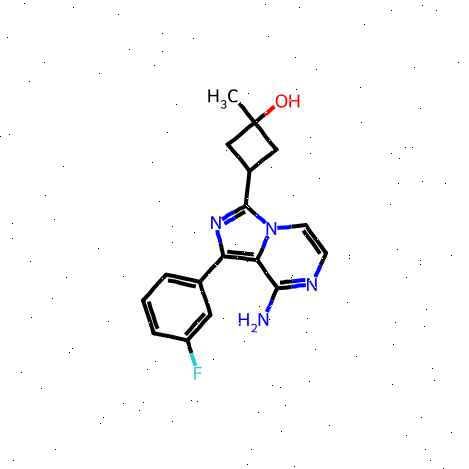 CC1(O)CC(c2nc(-c3cccc(F)c3)c3c(N)nccn23)C1